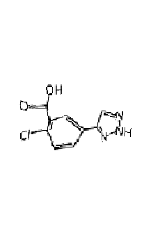 O=C(O)c1cc(-c2cn[nH]n2)ccc1Cl